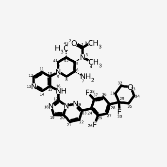 CC(=O)N(C)[C@@H]1[C@H](N)CN(c2ccncc2Nc2ncc3ccc(-c4c(F)cc(C5(F)CCOCC5)cc4F)nn23)C[C@@H]1C